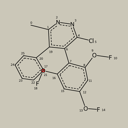 Cc1nnc(Cl)c(-c2c(OF)cc(OF)cc2OF)c1-c1ccccc1